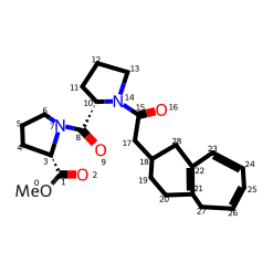 COC(=O)[C@@H]1CCCN1C(=O)[C@@H]1CCCN1C(=O)CC1CCC2=C(C=CC=CC2)C1